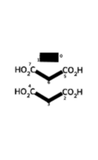 C#C.O=C(O)CC(=O)O.O=C(O)CC(=O)O